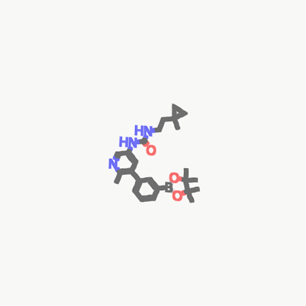 Cc1ncc(NC(=O)NCCC2(C)CC2)cc1-c1cccc(B2OC(C)(C)C(C)(C)O2)c1